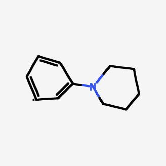 [c]1cccc(N2CCCCC2)c1